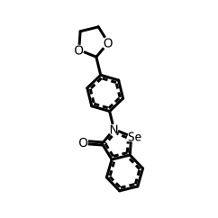 O=c1c2ccccc2[se]n1-c1ccc(C2OCCO2)cc1